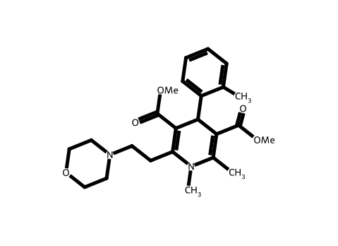 COC(=O)C1=C(C)N(C)C(CCN2CCOCC2)=C(C(=O)OC)C1c1ccccc1C